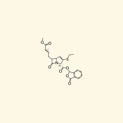 CCSC1=CC2C(C/C=C/C(=O)OC)C(=O)N2[C@H]1C(=O)OC1OC(=O)c2ccccc21